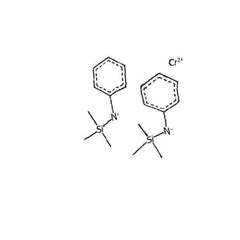 C[Si](C)(C)[N-]c1ccccc1.C[Si](C)(C)[N-]c1ccccc1.[Cr+2]